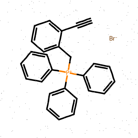 C#Cc1ccccc1C[P+](c1ccccc1)(c1ccccc1)c1ccccc1.[Br-]